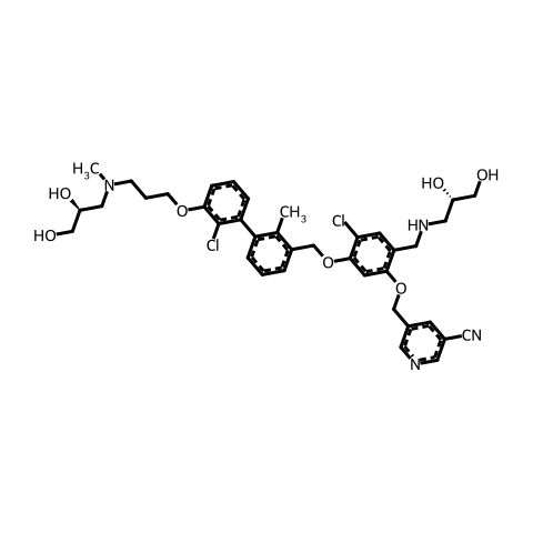 Cc1c(COc2cc(OCc3cncc(C#N)c3)c(CNC[C@H](O)CO)cc2Cl)cccc1-c1cccc(OCCCN(C)C[C@H](O)CO)c1Cl